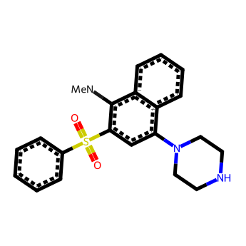 CNc1c(S(=O)(=O)c2ccccc2)cc(N2CCNCC2)c2ccccc12